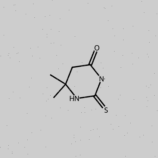 CC1(C)CC(=O)[N]C(=S)N1